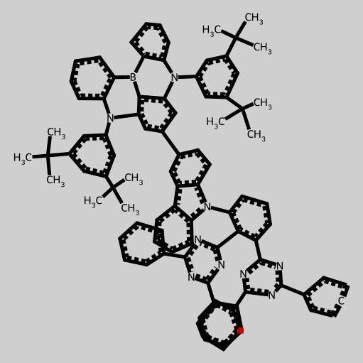 CC(C)(C)c1cc(N2c3ccccc3B3c4ccccc4N(c4cc(C(C)(C)C)cc(C(C)(C)C)c4)c4cc(-c5ccc6c(c5)c5ccccc5n6-c5cccc(-c6nc(-c7ccccc7)nc(-c7ccccc7)n6)c5-c5nc(-c6ccccc6)nc(-c6ccccc6)n5)cc2c43)cc(C(C)(C)C)c1